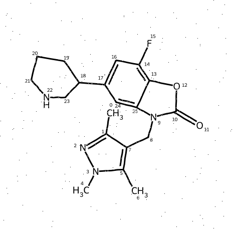 Cc1nn(C)c(C)c1Cn1c(=O)oc2c(F)cc(C3CCCNC3)cc21